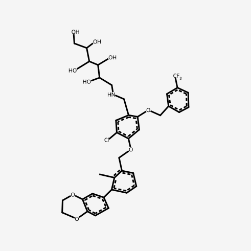 Cc1c(COc2cc(OCc3cccc(C(F)(F)F)c3)c(CNCC(O)C(O)C(O)C(O)CO)cc2Cl)cccc1-c1ccc2c(c1)OCCO2